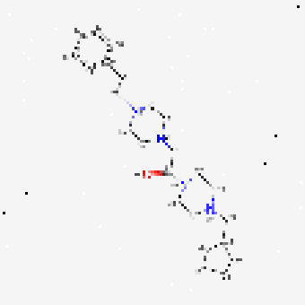 O=C(CN1CCN(CCc2ccccc2)CC1)N1CCN(CC2CCCC2)CC1